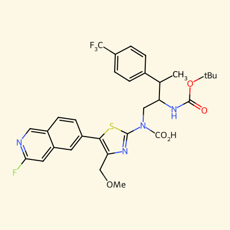 COCc1nc(N(CC(NC(=O)OC(C)(C)C)C(C)c2ccc(C(F)(F)F)cc2)C(=O)O)sc1-c1ccc2cnc(F)cc2c1